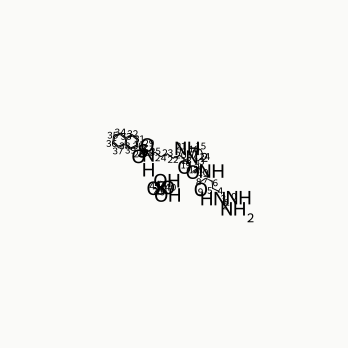 N=C(N)NCCC[C@@H](C=O)NC(=O)[C@@H]1CCCN1C(=O)[C@H](N)CCCCNS(=O)(=O)c1ccc2ccccc2c1.O=S(=O)(O)O